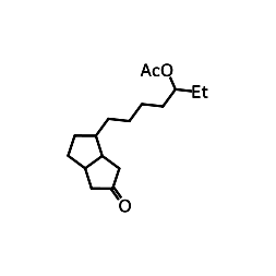 CCC(CCCCC1CCC2CC(=O)CC12)OC(C)=O